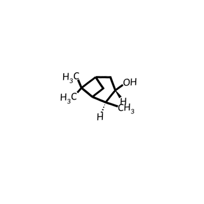 C[C@H]1C2CC(C[C@@H]1O)C2(C)C